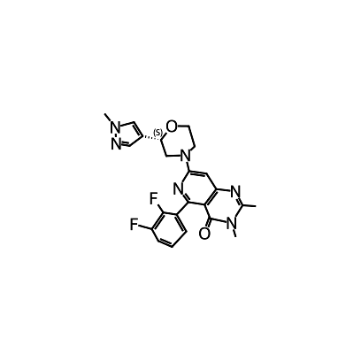 Cc1nc2cc(N3CCO[C@@H](c4cnn(C)c4)C3)nc(-c3cccc(F)c3F)c2c(=O)n1C